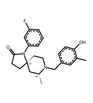 Cc1cc(CN2CC[C@@]3(CCC(=O)N3c3cccc(F)c3)C[C@H]2C)ccc1O